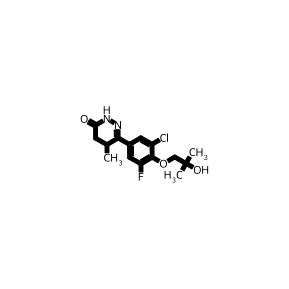 CC1CC(=O)NN=C1c1cc(F)c(OCC(C)(C)O)c(Cl)c1